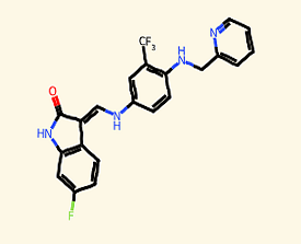 O=C1Nc2cc(F)ccc2C1=CNc1ccc(NCc2ccccn2)c(C(F)(F)F)c1